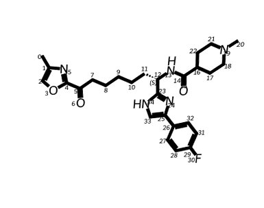 Cc1coc(C(=O)CCCCC[C@H](NC(=O)C2CCN(C)CC2)c2nc(-c3ccc(F)cc3)c[nH]2)n1